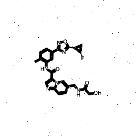 Cc1ccc(-c2noc([C@H]3C[C@@H]3F)n2)cc1NC(=O)c1cnc2ccc(CNC(=O)CO)cn12